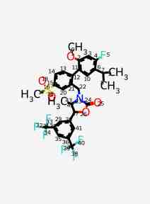 COc1cc(F)c(C(C)C)cc1-c1ccc(S(C)(=O)=O)cc1CN1C(=O)OC(c2cc(C(F)(F)F)cc(C(F)(F)F)c2)C1C